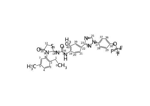 CCc1ccc(C)cc1N1C(=O)CS/C1=N\C(=O)Nc1ccc(-c2ncn(-c3ccc(OC(F)(F)F)cc3)n2)cc1C